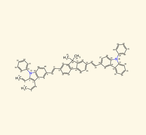 C=Cc1c(/C=C\C)c2cc(/C=C/c3ccc4c(c3)C(C)(C)c3cc(/C=C/c5ccc6c(c5)c5ccccc5n6-c5ccccc5)ccc3-4)ccc2n1-c1ccccc1